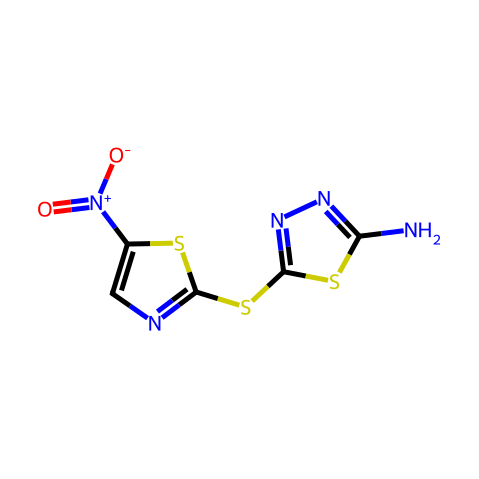 Nc1nnc(Sc2ncc([N+](=O)[O-])s2)s1